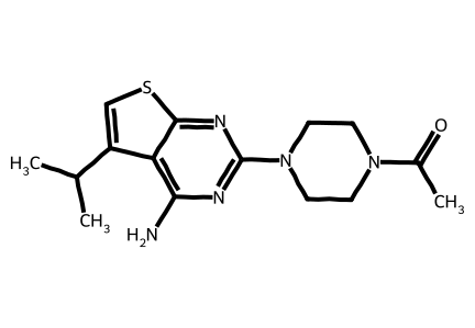 CC(=O)N1CCN(c2nc(N)c3c(C(C)C)csc3n2)CC1